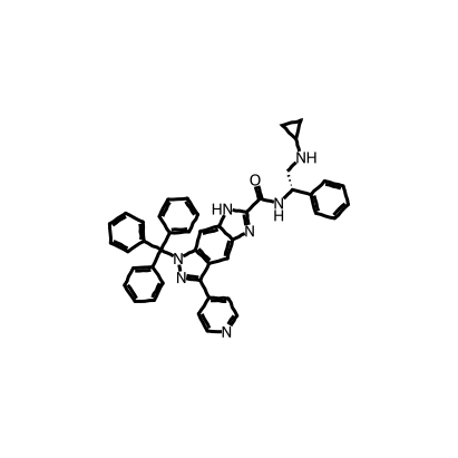 O=C(N[C@H](CNC1CC1)c1ccccc1)c1nc2cc3c(-c4ccncc4)nn(C(c4ccccc4)(c4ccccc4)c4ccccc4)c3cc2[nH]1